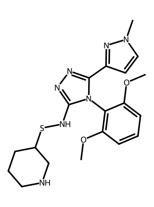 COc1cccc(OC)c1-n1c(NSC2CCCNC2)nnc1-c1ccn(C)n1